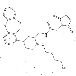 O=C(CN1C(=O)C=CC1=O)NCC1CN(c2cccc3c2C=Nc2ccccc2S3)CCN1CCOCCO